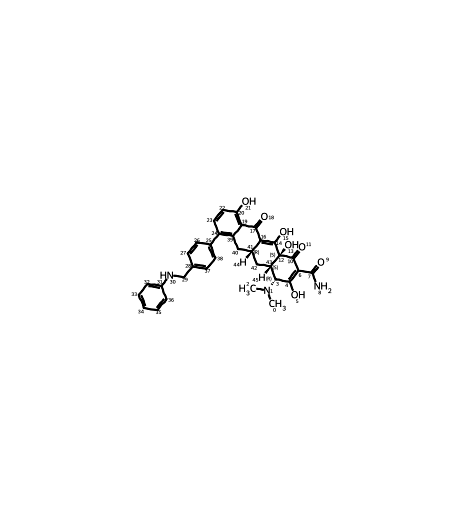 CN(C)[C@H]1C(O)=C(C(N)=O)C(=O)[C@@]2(O)C(O)=C3C(=O)c4c(O)ccc(-c5ccc(CNc6ccccc6)cc5)c4C[C@H]3C[C@@H]12